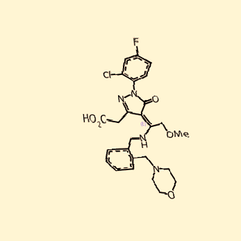 COC/C(NCc1ccccc1CN1CCOCC1)=C1\C(=O)N(c2ccc(F)cc2Cl)N=C1CC(=O)O